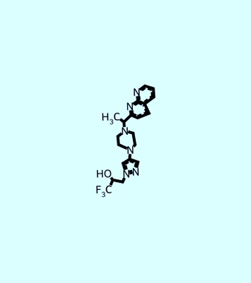 CC(c1ccc2cccnc2n1)N1CCN(c2cnn(CC(O)C(F)(F)F)c2)CC1